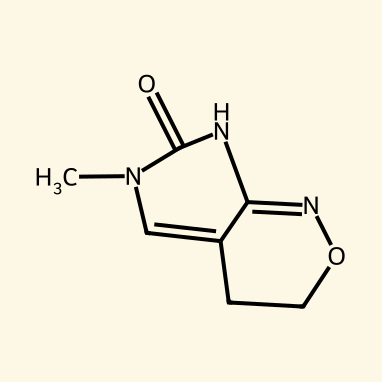 CN1C=C2CCON=C2NC1=O